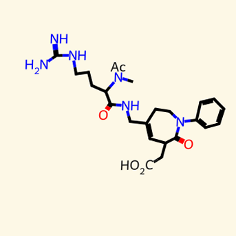 CC(=O)N(C)C(CCCNC(=N)N)C(=O)NCC1=CC(CC(=O)O)C(=O)N(c2ccccc2)CC1